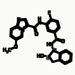 COc1ccc2ncc(C(=O)Nc3cc(C(=O)N[C@@H]4c5ccccc5C[C@@H]4O)ccc3F)n2c1